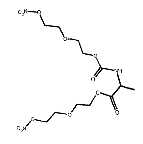 CC(NC(=O)OCCOCCO[N+](=O)[O-])C(=O)OCCOCCO[N+](=O)[O-]